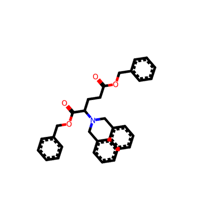 O=C(CCC(C(=O)OCc1ccccc1)N(Cc1ccccc1)Cc1ccccc1)OCc1ccccc1